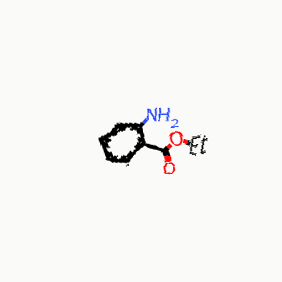 CCOC(=O)c1[c]cccc1N